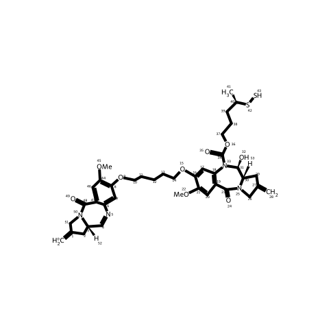 C=C1C[C@H]2C=Nc3cc(OCCCCCOc4cc5c(cc4OC)C(=O)N4CC(=C)C[C@H]4[C@H](O)N5C(=O)OCCC[C@@H](C)SS)c(OC)cc3C(=O)N2C1